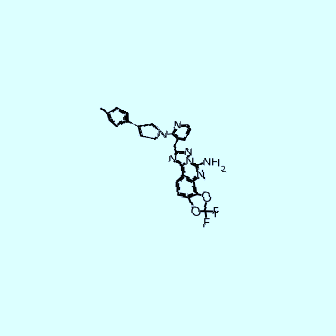 Cc1ccc([C@@H]2CCN(c3ncccc3Cc3nc4c5ccc6c(c5nc(N)n4n3)OC(F)(F)O6)C2)cc1